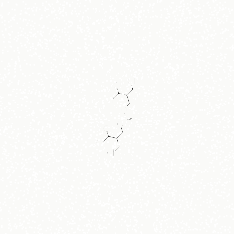 O=S(OCC(CCl)C(Cl)Cl)OCC(CCl)C(Cl)Cl